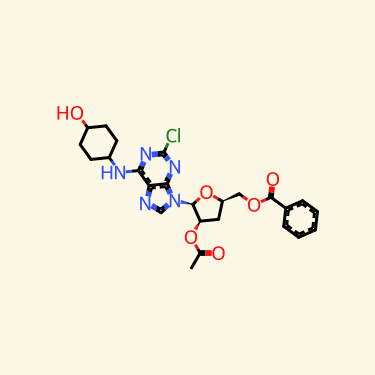 CC(=O)O[C@@H]1C[C@H](COC(=O)c2ccccc2)O[C@@H]1n1cnc2c(NC3CCC(O)CC3)nc(Cl)nc21